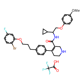 COc1ccc(OCC(NC(=O)C2=C(c3ccc(CCCOc4cc(F)ccc4Br)cc3)CCNC2)C2CC2)cc1.O=C(O)C(F)(F)F